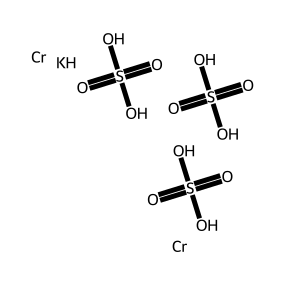 O=S(=O)(O)O.O=S(=O)(O)O.O=S(=O)(O)O.[Cr].[Cr].[KH]